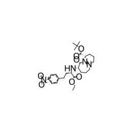 CCOC(=O)[C@@H](CCc1ccc([N+](=O)[O-])cc1)N[C@H]1CCCN2CCC[C@@H](C(=O)OC(C)(C)C)N2C1=O